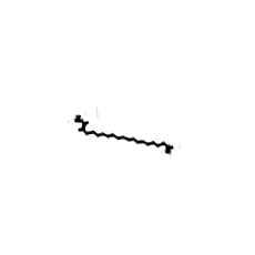 CC(CCCCCCCCCCCCCCCCC(=O)O)=C(C)C(=O)O